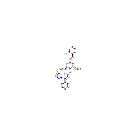 COc1cc(OCc2ccccc2F)cc(OC)c1CNCC(c1ccccc1)c1ncc(C)s1